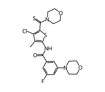 Cc1c(NC(=O)c2cc(F)cc(N3CCOCC3)c2)sc(C(=S)N2CCOCC2)c1Cl